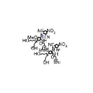 COc1cc(/N=N/c2c(C#N)cc([N+](=O)[O-])cc2C#N)c(NC(=O)CC(C)CC(C)(C)C)cc1N(CCCCO)CCCCO.COc1cc(N=Nc2c(Br)cc([N+](=O)[O-])cc2C#N)c(NC(=O)CC(C)CC(C)(C)C)cc1N(CCCCO)CCCCO